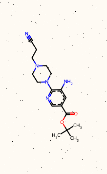 CC(C)(C)OC(=O)c1cnc(N2CCN(CCC#N)CC2)c(N)c1